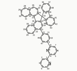 c1ccc(-c2cccc(-c3ccc(-c4cc5c(c6ccccc46)-c4c(ccc6ccccc46)C54c5ccccc5-c5ccccc54)cc3)n2)nc1